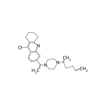 C=CCCC(=C)N1CCN(C(=C)c2ccc3c(Cl)c4c(nc3c2)CCCC4)CC1